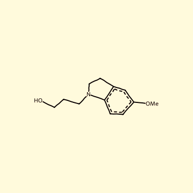 COc1ccc2c(c1)CCN2CCCO